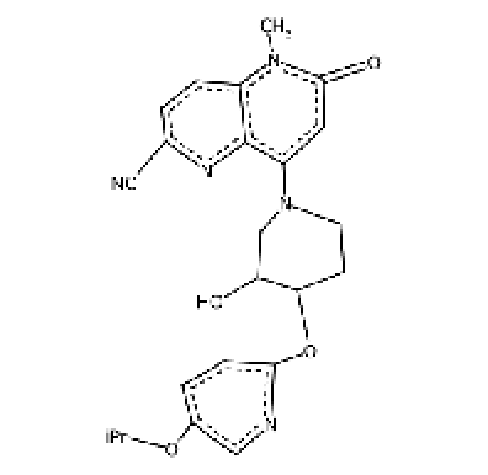 CC(C)Oc1ccc(OC2CCN(c3cc(=O)n(C)c4ccc(C#N)nc34)CC2O)nc1